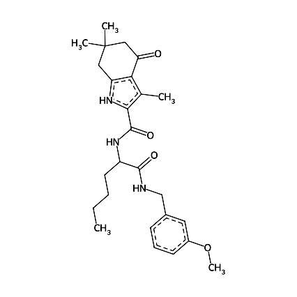 CCCCC(NC(=O)c1[nH]c2c(c1C)C(=O)CC(C)(C)C2)C(=O)NCc1cccc(OC)c1